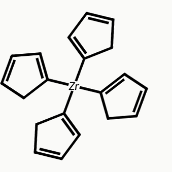 C1=CC[C]([Zr]([C]2=CC=CC2)([C]2=CC=CC2)[C]2=CC=CC2)=C1